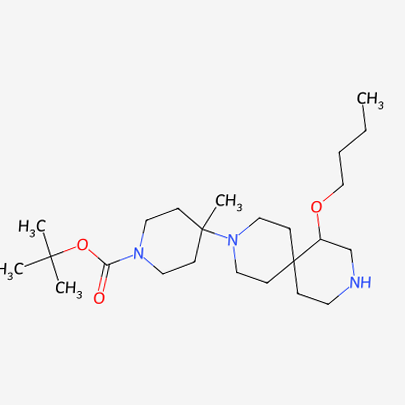 CCCCOC1CNCCC12CCN(C1(C)CCN(C(=O)OC(C)(C)C)CC1)CC2